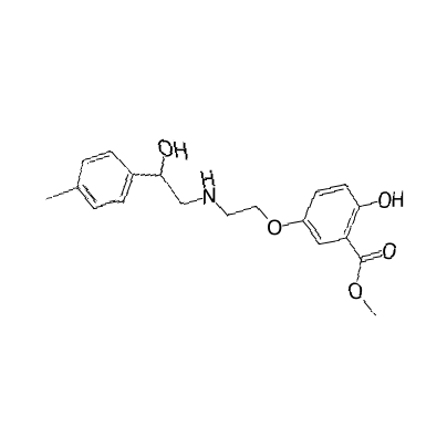 COC(=O)c1cc(OCCNCC(O)c2ccc(C)cc2)ccc1O